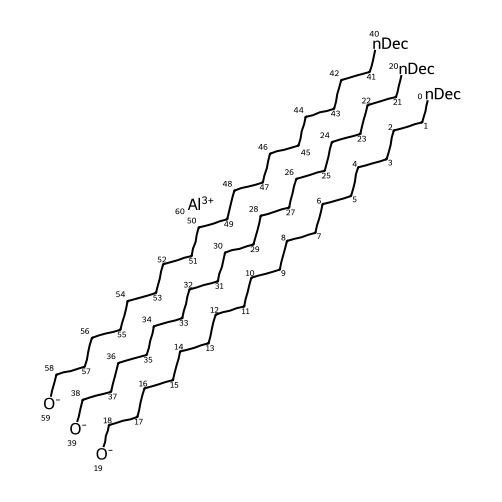 CCCCCCCCCCCCCCCCCCCCCCCCCCCC[O-].CCCCCCCCCCCCCCCCCCCCCCCCCCCC[O-].CCCCCCCCCCCCCCCCCCCCCCCCCCCC[O-].[Al+3]